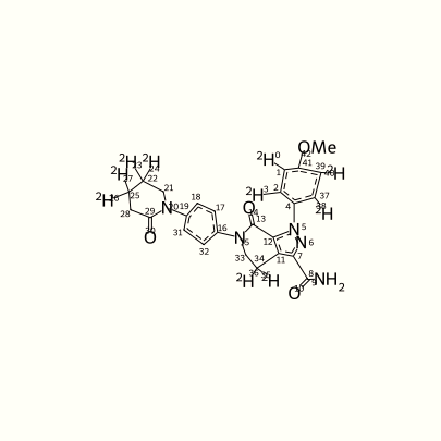 [2H]c1c([2H])c(-n2nc(C(N)=O)c3c2C(=O)N(c2ccc(N4CC([2H])([2H])C([2H])([2H])CC4=O)cc2)CC3([2H])[2H])c([2H])c([2H])c1OC